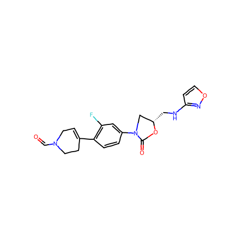 O=CN1CC=C(c2ccc(N3C[C@H](CNc4ccon4)OC3=O)cc2F)CC1